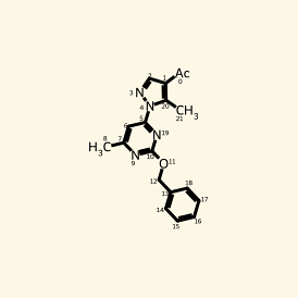 CC(=O)c1cnn(-c2cc(C)nc(OCc3ccccc3)n2)c1C